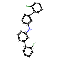 Fc1ccccc1-c1cccc(Nc2cccc(-c3ccccc3F)c2)c1